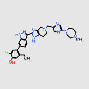 CCc1cc(O)c(F)cc1-c1ccc2c(-c3nc4c([nH]3)CCN(Cc3cnc(N5CCCN(C)CC5)cn3)C4)n[nH]c2c1